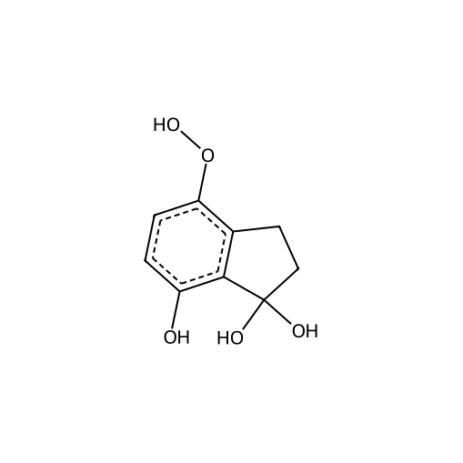 OOc1ccc(O)c2c1CCC2(O)O